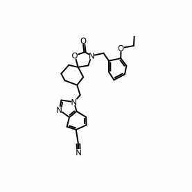 CCOc1ccccc1CN1CC2(CCCC(Cn3cnc4cc(C#N)ccc43)C2)OC1=O